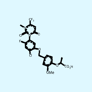 COc1cc(COc2cc(-n3c(=O)cc(C(F)(F)F)n(C)c3=O)c(F)cc2Cl)ccc1OC(C)C(=O)O